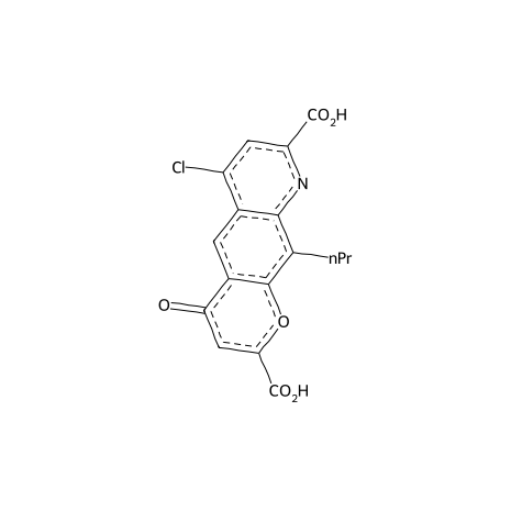 CCCc1c2nc(C(=O)O)cc(Cl)c2cc2c(=O)cc(C(=O)O)oc12